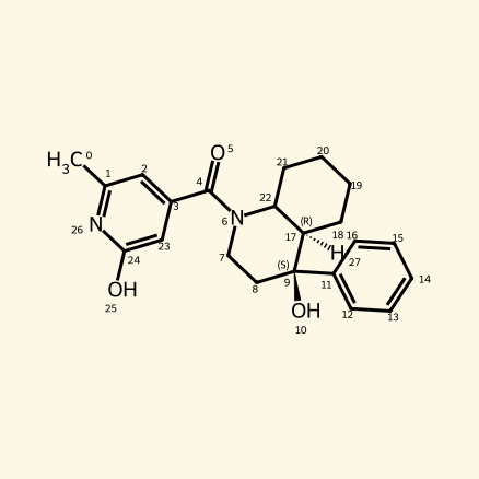 Cc1cc(C(=O)N2CC[C@@](O)(c3ccccc3)[C@@H]3CCCCC32)cc(O)n1